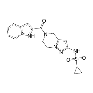 O=C(c1cc2ccccc2[nH]1)N1CCn2nc(NS(=O)(=O)C3CC3)cc2C1